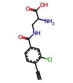 [C]#Cc1ccc(C(=O)NCC(N)C(=O)O)cc1Cl